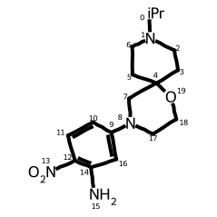 CC(C)N1CCC2(CC1)CN(c1ccc([N+](=O)[O-])c(N)c1)CCO2